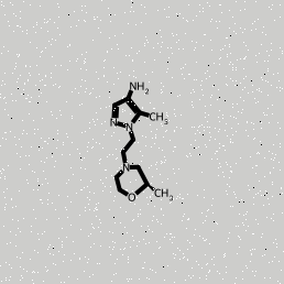 Cc1c(N)cnn1CCN1CCO[C@H](C)C1